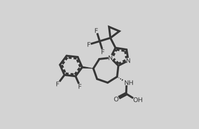 O=C(O)N[C@@H]1CC[C@@H](c2cccc(F)c2F)Cn2c(C3(C(F)(F)F)CC3)cnc21